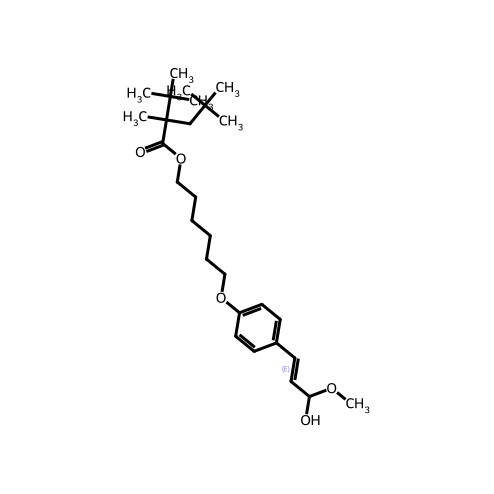 COC(O)/C=C/c1ccc(OCCCCCCOC(=O)C(C)(CC(C)(C)C)C(C)(C)C)cc1